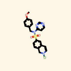 COc1ccc(CN(c2ccncn2)S(=O)(=O)c2ccc3c(c2)C=CN(Cl)C3)cc1